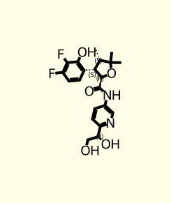 C[C@H]1[C@@H](c2ccc(F)c(F)c2O)[C@H](C(=O)Nc2ccc([C@@H](O)CO)nc2)OC1(C)C